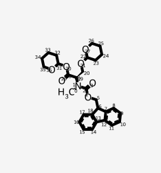 CN(C(=O)OCC1c2ccccc2-c2ccccc21)[C@H](COC1CCCCO1)C(=O)OC1CCCCO1